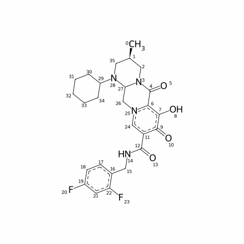 C[C@H]1CN2C(=O)c3c(O)c(=O)c(C(=O)NCc4ccc(F)cc4F)cn3CC2N(C2CCCCC2)C1